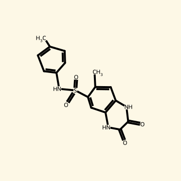 Cc1ccc(NS(=O)(=O)c2cc3[nH]c(=O)c(=O)[nH]c3cc2C)cc1